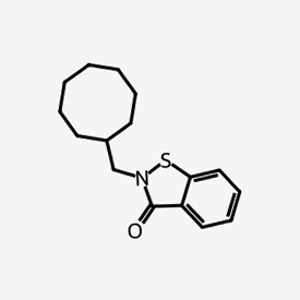 O=c1c2ccccc2sn1CC1CCCCCCC1